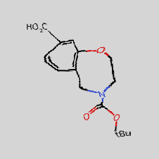 CC(C)(C)OC(=O)N1CCOc2cc(C(=O)O)ccc2C1